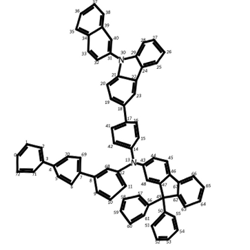 c1ccc(-c2ccc(-c3cccc(N(c4ccc(-c5ccc6c(c5)c5ccccc5n6-c5ccc6ccccc6c5)cc4)c4ccc5c(c4)C(c4ccccc4)(c4ccccc4)c4ccccc4-5)c3)cc2)cc1